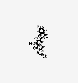 CCC1CCN2C(=O)c3c(O)c(=O)c(C(=O)NC(C)c4ccc(F)cc4)cn3CC2O1